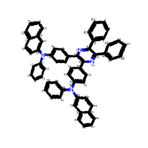 c1ccc(-c2nc(-c3ccc(N(c4ccccc4)c4ccc5ccccc5c4)cc3)c(-c3ccc(N(c4ccccc4)c4ccc5ccccc5c4)cc3)nc2-c2ccccc2)cc1